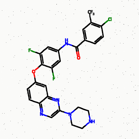 O=C(Nc1cc(F)c(Oc2ccc3ncc(N4CCNCC4)nc3c2)c(F)c1)c1ccc(Cl)c(C(F)(F)F)c1